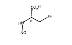 O=NN[C@@H](CS)C(=O)O